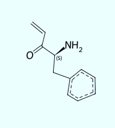 C=CC(=O)[C@@H](N)Cc1ccccc1